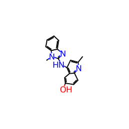 Cc1cc(Nc2nc3ccccc3n2C)c2cc(O)ccc2n1